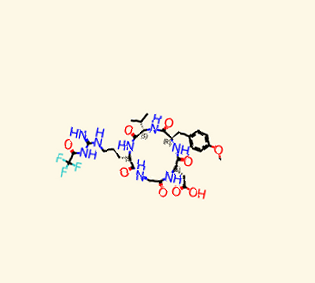 COc1ccc(C[C@H]2NC(=O)[C@H](CC(=O)O)NC(=O)CNC(=O)[C@H](CCCNC(=N)NC(=O)C(F)(F)F)NC(=O)[C@H](C(C)C)NC2=O)cc1